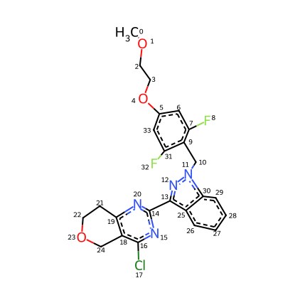 COCCOc1cc(F)c(Cn2nc(-c3nc(Cl)c4c(n3)CCOC4)c3ccccc32)c(F)c1